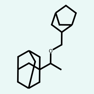 CC(OCC1CC2CCC1C2)C12CC3CC(CC(C3)C1)C2